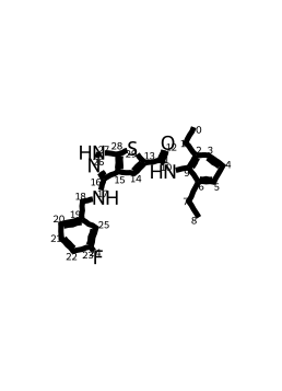 CCc1cccc(CC)c1NC(=O)c1cc2c(NCc3cccc(F)c3)n[nH]c2s1